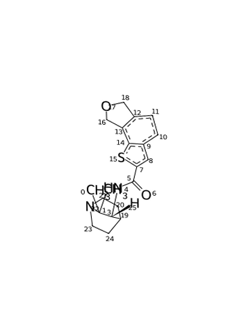 CC1(C)[C@H](NC(=O)c2cc3ccc4c(c3s2)COC4)C2CCN1CC2